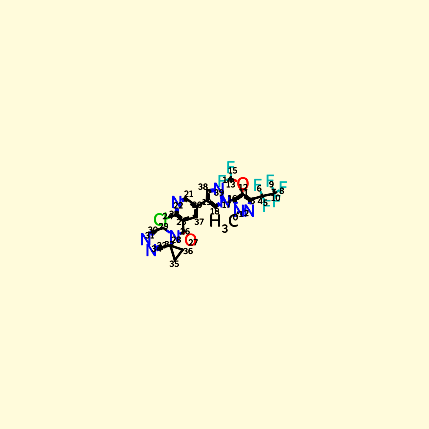 Cn1nc(C(F)(F)C(F)(F)F)c(OC(F)F)c1-n1cc(-c2cnc(Cl)c(C(=O)N(CC#N)C3(C#N)CC3)c2)cn1